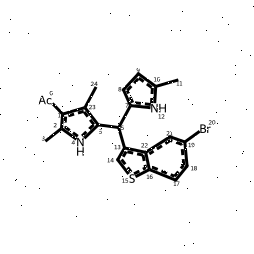 CC(=O)c1c(C)[nH]c(C(c2ccc(C)[nH]2)c2csc3ccc(Br)cc23)c1C